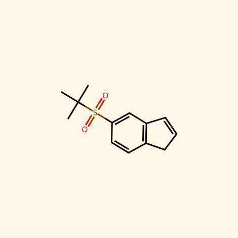 CC(C)(C)S(=O)(=O)c1ccc2c(c1)C=CC2